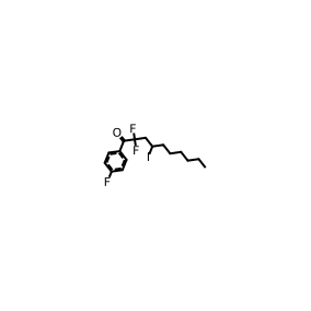 CCCCCCC(I)CC(F)(F)C(=O)c1ccc(F)cc1